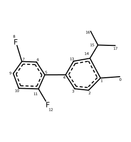 Cc1ccc(-c2cc(F)ccc2F)cc1C(C)C